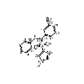 Cn1cnc(S(=O)(=O)N(Cc2ccccc2)c2cccc(Br)c2)c1